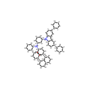 c1ccc(-c2ccc3c(c2)c2cc(-c4ccccc4)ccc2n3-c2cccc(N(c3ccccc3)c3ccc(-c4cccc5cccc(-c6ccccc6)c45)cc3)c2)cc1